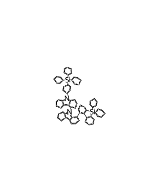 c1ccc([Si](c2ccccc2)(c2ccccc2)c2ccc(-n3c4ccccc4c4c(-n5c6ccccc6c6cccc(-c7cccc8c7-c7ccccc7[Si]8(c7ccccc7)c7ccccc7)c65)cccc43)cc2)cc1